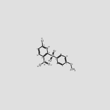 COc1ccc(S(=O)(=O)c2nc(Cl)ccc2[N+](=O)[O-])cc1